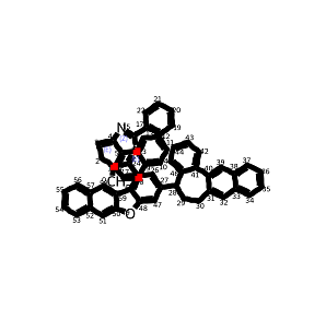 CC1C/C=C(c2cccc3ccccc23)/N=C(c2ccccc2)\N=C/1c1cc(C2CCc3cc4ccccc4cc3-c3ccccc32)cc2oc3cc4ccccc4cc3c12